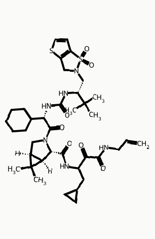 C=CCNC(=O)C(=O)C(CC1CC1)NC(=O)[C@@H]1[C@@H]2[C@H](CN1C(=O)[C@@H](NC(=O)N[C@H](CN1Cc3sccc3S1(=O)=O)C(C)(C)C)C1CCCCC1)C2(C)C